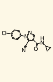 N#Cc1c(C(=O)NC2CC2)cnn1-c1ccc(Cl)cc1